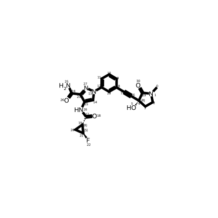 CN1CC[C@@](O)(C#Cc2cccc(-n3cc(NC(=O)[C@H]4C[C@@H]4F)c(C(N)=O)n3)c2)C1=O